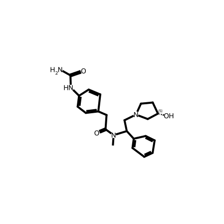 CN(C(=O)Cc1ccc(NC(N)=O)cc1)C(CN1CC[C@H](O)C1)c1ccccc1